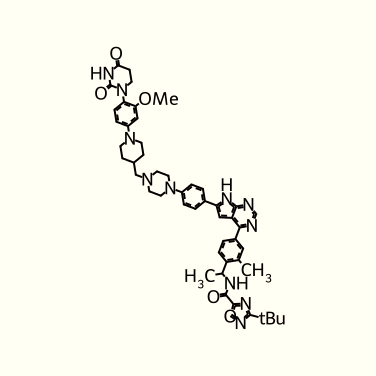 COc1cc(N2CCC(CN3CCN(c4ccc(-c5cc6c(-c7ccc(C(C)NC(=O)c8nc(C(C)(C)C)no8)c(C)c7)ncnc6[nH]5)cc4)CC3)CC2)ccc1N1CCC(=O)NC1=O